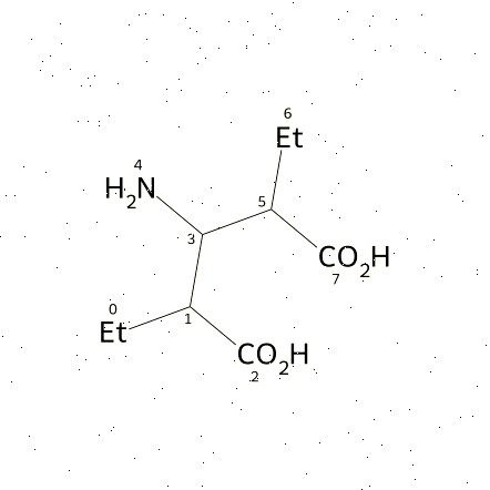 CCC(C(=O)O)C(N)C(CC)C(=O)O